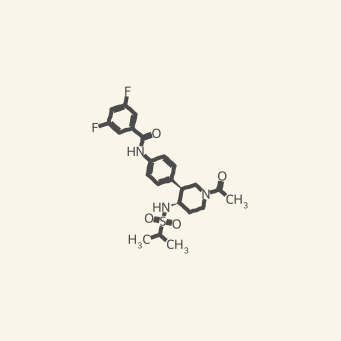 CC(=O)N1CC[C@H](NS(=O)(=O)C(C)C)[C@@H](c2ccc(NC(=O)c3cc(F)cc(F)c3)cc2)C1